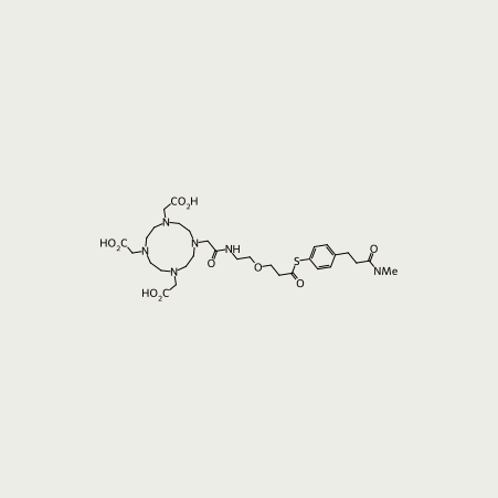 CNC(=O)CCc1ccc(SC(=O)CCOCCNC(=O)CN2CCN(CC(=O)O)CCN(CC(=O)O)CCN(CC(=O)O)CC2)cc1